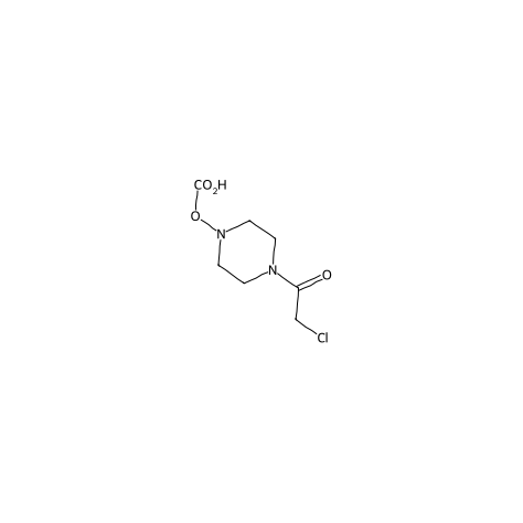 O=C(O)ON1CCN(C(=O)CCl)CC1